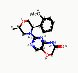 COc1ccccc1[C@@H]1CO[C@H](C)CN1c1ncc2c(n1)NC(=O)CO2